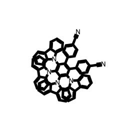 N#Cc1ccc(-c2c(-c3ccc(C#N)cc3)c(-n3c4ccccc4c4ccccc43)c(-n3c4ccccc4c4ccccc43)c(-n3c4ccccc4c4ccccc43)c2-n2c3ccccc3c3ccccc32)cc1